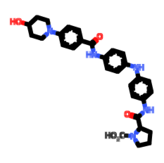 O=C(Nc1ccc(Nc2ccc(NC(=O)C3CCCN3C(=O)O)cc2)cc1)c1ccc(N2CCC(O)CC2)cc1